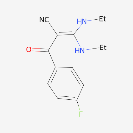 CCNC(NCC)=C(C#N)C(=O)c1ccc(F)cc1